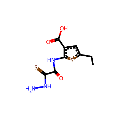 CCc1cc(C(=O)O)c(NC(=O)C(=S)NN)s1